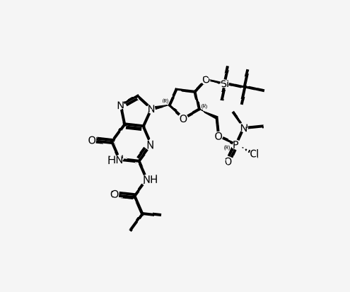 CC(C)C(=O)Nc1nc2c(ncn2[C@H]2CC(O[Si](C)(C)C(C)(C)C)[C@@H](CO[P@@](=O)(Cl)N(C)C)O2)c(=O)[nH]1